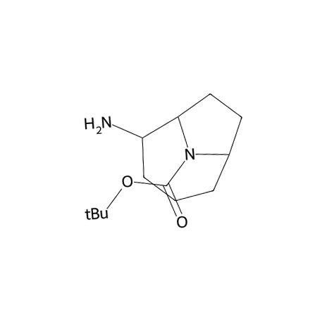 CC(C)(C)OC(=O)N1C2CCCC(N)C1CC2